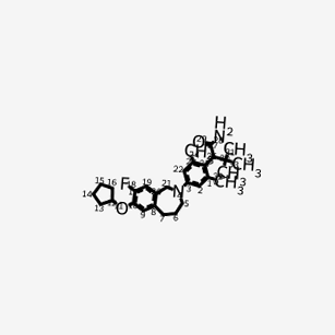 Cc1cc(N2CCCc3cc(OC4CCCC4)c(F)cc3C2)cc(C)c1C(C(N)=O)C(C)(C)C